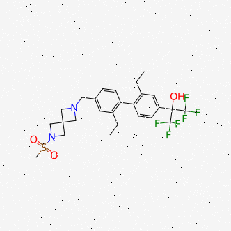 CCc1cc(CN2CC3(C2)CN(S(C)(=O)=O)C3)ccc1-c1ccc(C(O)(C(F)(F)F)C(F)(F)F)cc1CC